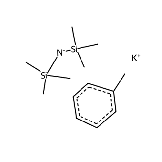 C[Si](C)(C)[N-][Si](C)(C)C.Cc1ccccc1.[K+]